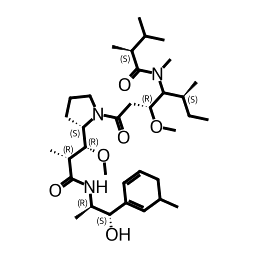 CC[C@H](C)C([C@@H](CC(=O)N1CCC[C@H]1[C@H](OC)[C@@H](C)C(=O)N[C@H](C)[C@@H](O)C1=CC(C)CC=C1)OC)N(C)C(=O)[C@@H](C)C(C)C